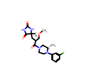 COCC(CC1(C)NC(=O)NC1=O)C(=O)N1CCN(c2cccc(F)c2)[C@@H](C)C1